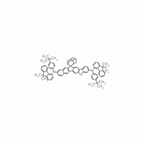 CC(C)(C)c1ccc(N(c2ccc3cc4c(cc3c2)C2(c3cc5c(cc3-4)oc3cc(N(c4ccc(C(C)(C)C)cc4)c4cccc6c4-c4ccccc4C6(C)C)ccc35)C3CC4CC(C3)CC2C4)c2cccc3c2-c2ccccc2C3(C)C)cc1